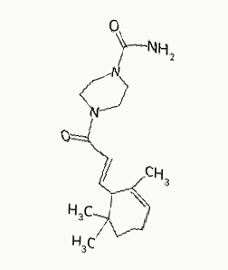 CC1=CCCC(C)(C)C1C=CC(=O)N1CCN(C(N)=O)CC1